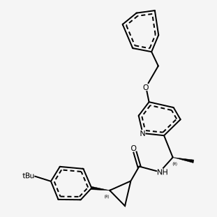 C[C@@H](NC(=O)C1C[C@H]1c1ccc(C(C)(C)C)cc1)c1ccc(OCc2ccccc2)cn1